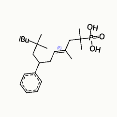 CCC(C)C(C)(C)CC(C/C=C(\C)CC(C)(C)P(=O)(O)O)c1ccccc1